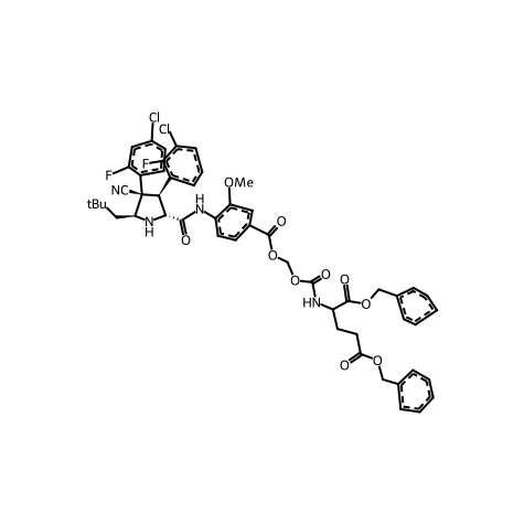 COc1cc(C(=O)OCOC(=O)NC(CCC(=O)OCc2ccccc2)C(=O)OCc2ccccc2)ccc1NC(=O)[C@@H]1N[C@@H](CC(C)(C)C)[C@](C#N)(c2ccc(Cl)cc2F)[C@H]1c1cccc(Cl)c1F